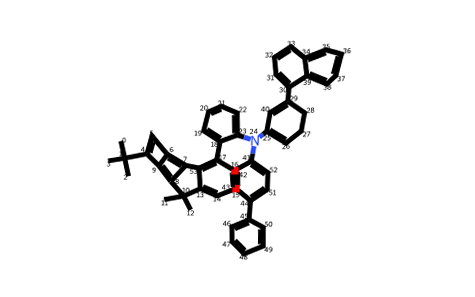 CC(C)(C)c1cc2c3c(c1-2)C(C)(C)c1cccc(-c2ccccc2N(C2=CCCC(c4cccc5ccccc45)=C2)c2ccc(-c4ccccc4)cc2)c1-3